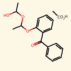 CC(=O)O.CC(O)OC(C)Oc1ccccc1C(=O)c1ccccc1